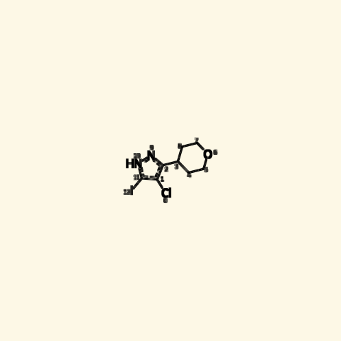 Clc1c(C2CCOCC2)n[nH]c1I